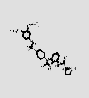 COc1cc(NC(=O)[C@H]2CC[C@@H](n3c(=O)[nH]c4c(NC(=O)[C@H]5CCN5)cccc43)CC2)ccc1C